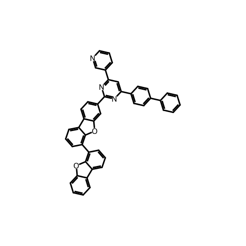 c1ccc(-c2ccc(-c3cc(-c4cccnc4)nc(-c4ccc5c(c4)oc4c(-c6cccc7c6oc6ccccc67)cccc45)n3)cc2)cc1